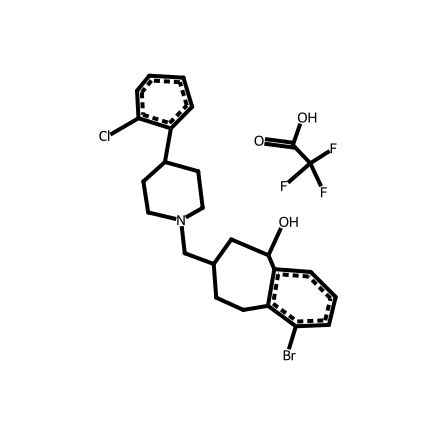 O=C(O)C(F)(F)F.OC1CC(CN2CCC(c3ccccc3Cl)CC2)CCc2c(Br)cccc21